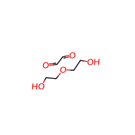 O=CC=O.OCCOCCO